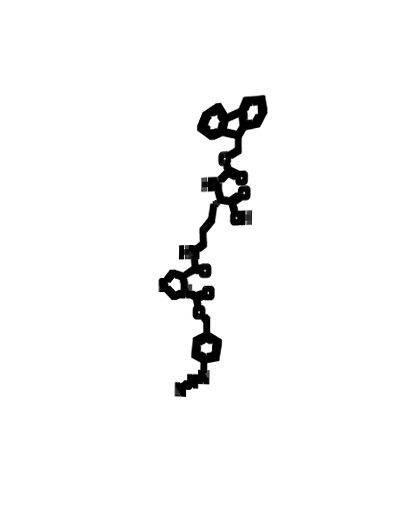 [N-]=[N+]=Nc1ccc(COC(=O)N2CSC[C@H]2C(=O)NCCCC[C@H](NC(=O)OCC2c3ccccc3-c3ccccc32)C(=O)O)cc1